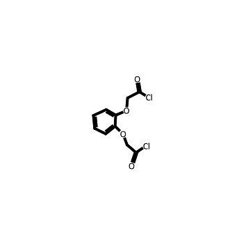 O=C(Cl)COc1ccccc1OCC(=O)Cl